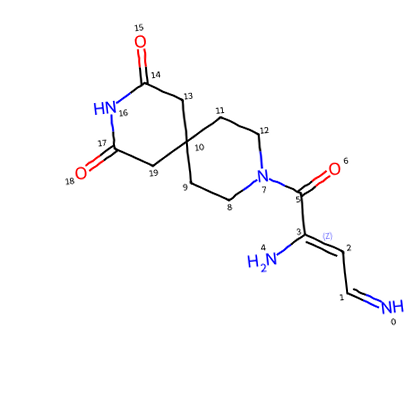 N=C/C=C(\N)C(=O)N1CCC2(CC1)CC(=O)NC(=O)C2